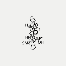 CSC[C@H](NC(=O)CC(CS(=O)(=O)C(C)(C)C(=O)N1CCOCC1)c1ccccc1)C(=O)N[C@@H](CC1CCCCC1)[C@@H](O)[C@@H](O)C1CC1